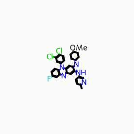 COC1CCC(/N=c2\cc3n(-c4ccc(Cl)c(Cl)c4)c4ccc(F)cc4nc-3cc2Nc2ccc(C)nc2)CC1